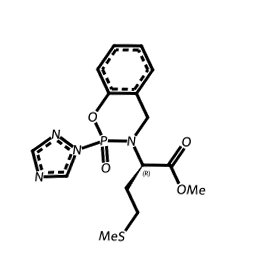 COC(=O)[C@@H](CCSC)N1Cc2ccccc2OP1(=O)n1cncn1